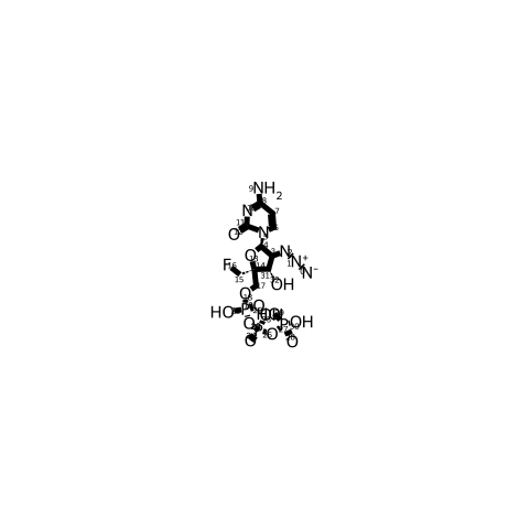 [N-]=[N+]=NC1[C@H](n2ccc(N)nc2=O)O[C@](CF)(COP(=O)(O)OP(=O)(O)OP(=O)(O)O)[C@H]1O